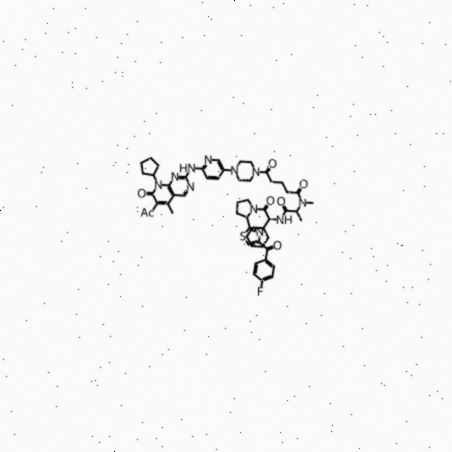 CC(=O)c1c(C)c2cnc(Nc3ccc(N4CCN(C(=O)CCCC(=O)N(C)C(C)C(=O)N[C@H](C(=O)N5CCCC5c5nc(C(=O)c6ccc(F)cc6)cs5)C5CCCCC5)CC4)cn3)nc2n(C2CCCC2)c1=O